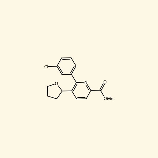 COC(=O)c1ccc(C2CCCO2)c(-c2cccc(Cl)c2)n1